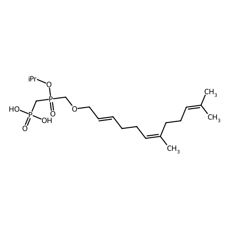 CC(C)=CCCC(C)=CCCC=CCOCP(=O)(CP(=O)(O)O)OC(C)C